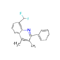 [CH2]c1c(C)c(-c2ccccc2)nc2c(C(F)F)cccc12